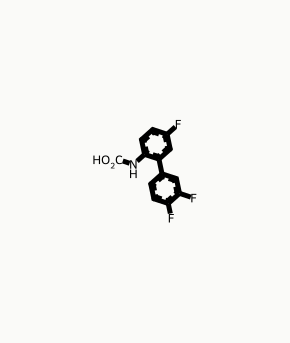 O=C(O)Nc1ccc(F)cc1-c1ccc(F)c(F)c1